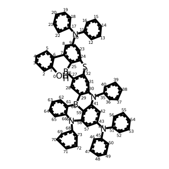 Oc1ccccc1-c1cc(N(c2ccccc2)c2ccccc2)cc2c1Bc1cc3c(cc1S2)N(c1ccccc1)c1cc(N(c2ccccc2)c2ccccc2)cc2c1B3c1ccccc1N2c1ccccc1